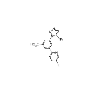 CC(C)c1nnnn1-c1cc(C(=O)O)cc(-c2ccc(Cl)cn2)c1